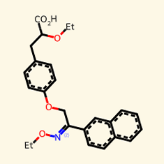 CCO/N=C(\COc1ccc(CC(OCC)C(=O)O)cc1)c1ccc2ccccc2c1